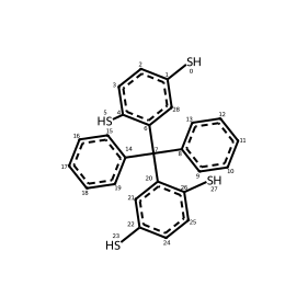 Sc1ccc(S)c(C(c2ccccc2)(c2ccccc2)c2cc(S)ccc2S)c1